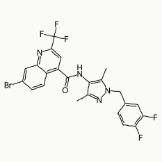 Cc1nn(Cc2ccc(F)c(F)c2)c(C)c1NC(=O)c1cc(C(F)(F)F)nc2cc(Br)ccc12